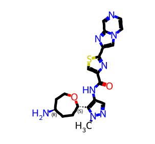 Cn1ncc(NC(=O)c2csc(-c3cn4ccncc4n3)n2)c1[C@@H]1CC[C@@H](N)CCO1